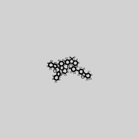 CC1(C)c2ccccc2-c2c(N(c3ccc(-c4ccc5c(c4)oc4ccccc45)cc3)C3CC=CC4=C3c3ccccc3C43c4ccc5ccccc5c4Oc4c3ccc3ccccc43)cccc21